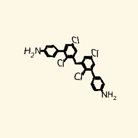 Nc1ccc(-c2cc(Cl)cc(Cc3cc(Cl)cc(-c4ccc(N)cc4)c3Cl)c2Cl)cc1